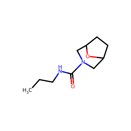 CCCNC(=O)N1CC2CCC(C1)O2